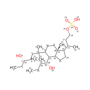 CC[C@H](O)CCC(C)(C)C1CC[C@]2(C)C(C(C)CCOS(=O)(=O)O)CCC2C1[C@H](O)[C@@H](C)CC